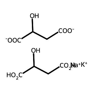 O=C(O)CC(O)C(=O)O.O=C([O-])CC(O)C(=O)[O-].[K+].[Na+]